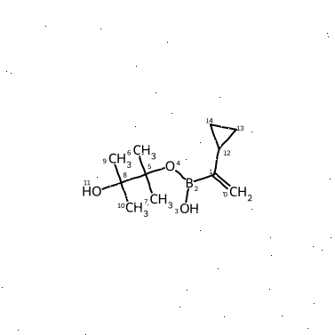 C=C(B(O)OC(C)(C)C(C)(C)O)C1CC1